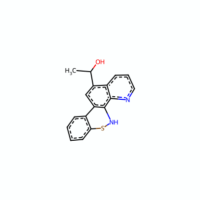 CC(O)c1cc2c(c3ncccc13)NSc1ccccc1-2